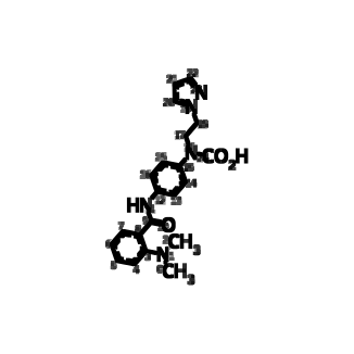 CN(C)c1ccccc1C(=O)Nc1ccc(N(CCn2cccn2)C(=O)O)cc1